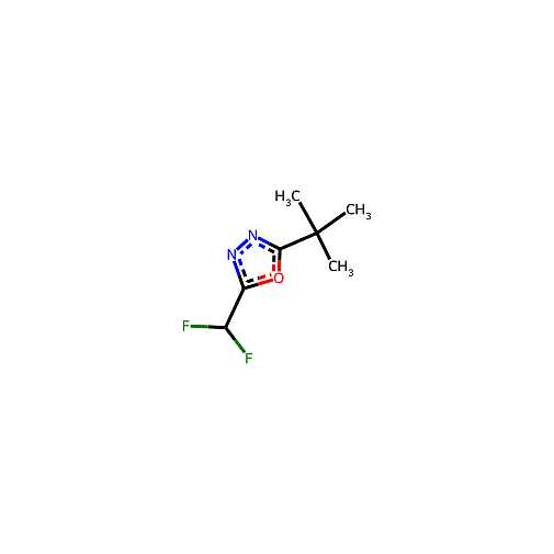 CC(C)(C)c1nnc(C(F)F)o1